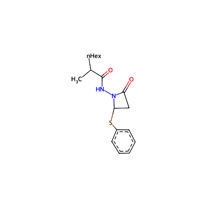 CCCCCCC(C)C(=O)NN1C(=O)CC1Sc1ccccc1